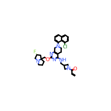 C=CC(=O)N1CC(CNc2nc(OCC34CCCN3C[C@H](F)C4)nc3c2CCN(c2cccc4cccc(Cl)c24)C3)C1